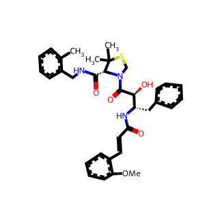 COc1ccccc1/C=C/C(=O)N[C@@H](Cc1ccccc1)[C@H](O)C(=O)N1CSC(C)(C)[C@H]1C(=O)NCc1ccccc1C